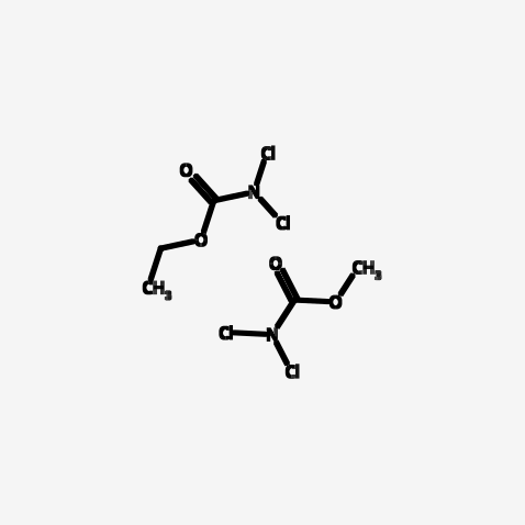 CCOC(=O)N(Cl)Cl.COC(=O)N(Cl)Cl